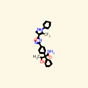 CC(O)C(C(N)=O)(c1ccccc1)c1ccc(-c2noc(-c3cnn(-c4ccccc4)c3C(F)(F)F)n2)cc1